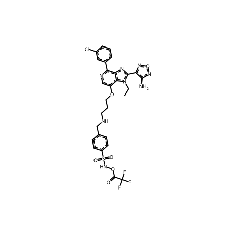 CCn1c(-c2nonc2N)nc2c(-c3cccc(Cl)c3)ncc(OCCCNCc3ccc(S(=O)(=O)NOC(=O)C(F)(F)F)cc3)c21